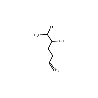 C=CCCC(O)C(C)CC